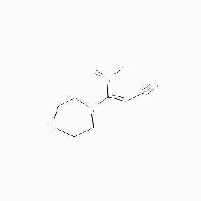 N#CC=C(N1CCNCC1)[N+](=O)[O-]